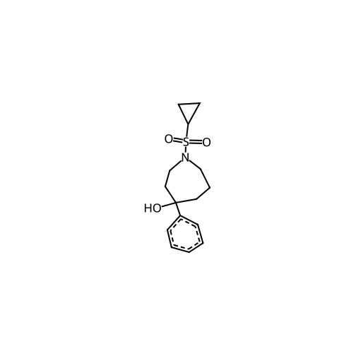 O=S(=O)(C1CC1)N1CCCC(O)(c2ccccc2)CC1